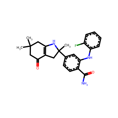 CC1(C)CC(=O)C2=C(C1)NC(C)(c1ccc(C(N)=O)c(Nc3ccccc3F)c1)C2